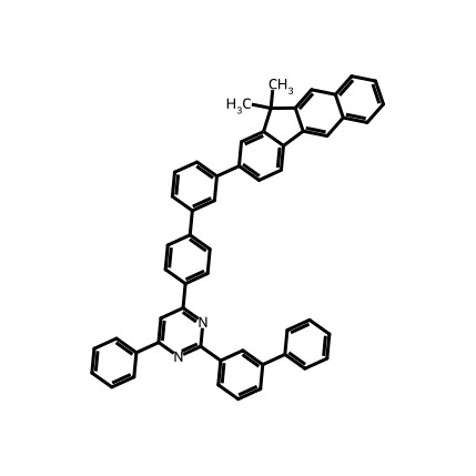 CC1(C)c2cc(-c3cccc(-c4ccc(-c5cc(-c6ccccc6)nc(-c6cccc(-c7ccccc7)c6)n5)cc4)c3)ccc2-c2cc3ccccc3cc21